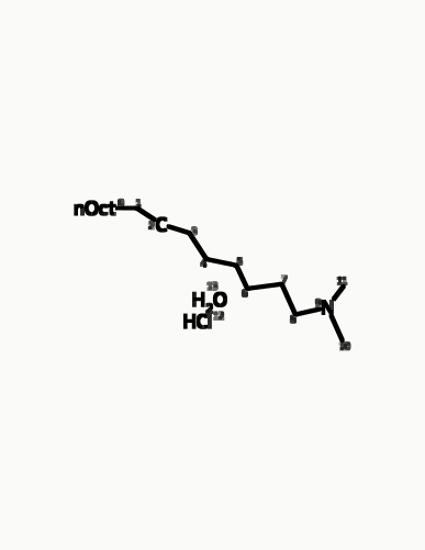 CCCCCCCCCCCCCCCCN(C)C.Cl.O